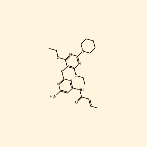 CC=CC(=O)Nc1cc(N)nc(Sc2c(OCC)nc(N3CCCCC3)nc2OCC)n1